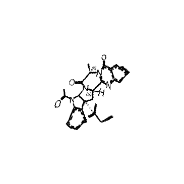 C=CC(C)(C)[C@@]12C[C@H]3c4nc5ccccc5c(=O)n4[C@H](C)C(=O)N3C1N(C(C)=O)c1ccccc12